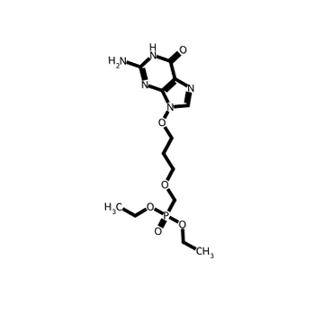 CCOP(=O)(COCCCOn1cnc2c(=O)[nH]c(N)nc21)OCC